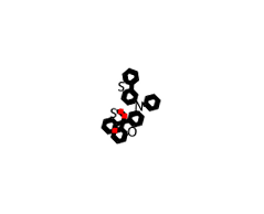 c1ccc(N(c2ccc3c(c2)C2(c4ccccc4O3)c3ccccc3Sc3ccccc32)c2ccc3sc4ccccc4c3c2)cc1